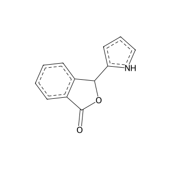 O=C1OC(c2ccc[nH]2)c2ccccc21